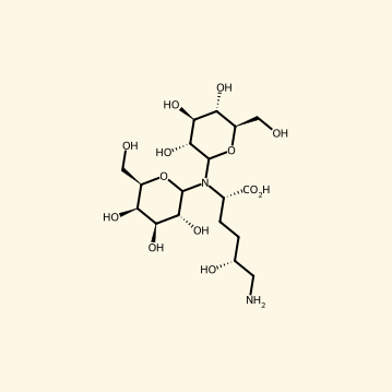 NC[C@H](O)CC[C@@H](C(=O)O)N(C1O[C@H](CO)[C@H](O)[C@H](O)[C@H]1O)C1O[C@H](CO)[C@@H](O)[C@H](O)[C@H]1O